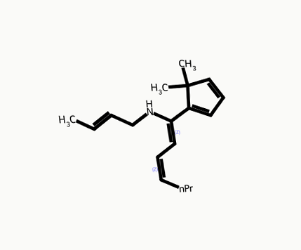 CC=CCN/C(=C\C=C/CCC)C1=CC=CC1(C)C